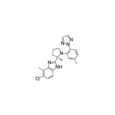 Cc1c[c]c(-n2nccn2)c(N2CCC[C@@]2(C)c2nc3c(C)c(Cl)ccc3[nH]2)c1